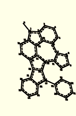 Cn1c2cccc3c4sccc4n4c5c(ccc1c5c32)c1c2ccccc2n(-c2ccccc2)c14